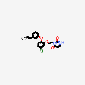 N#C/C=C/c1cccc(Oc2ccc(Cl)cc2OCCn2c(=O)cc[nH]c2=O)c1